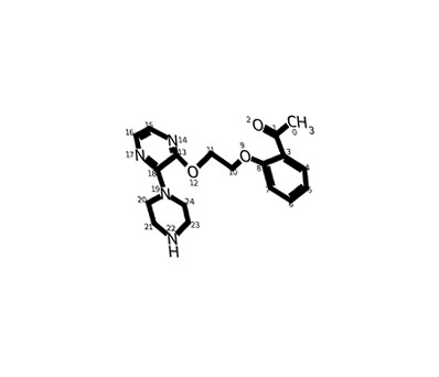 CC(=O)c1ccccc1OCCOc1nccnc1N1CCNCC1